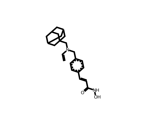 C=CN(Cc1ccc(/C=C/C(=O)NO)cc1)CC12CC3CC(CC(C3)C1)C2